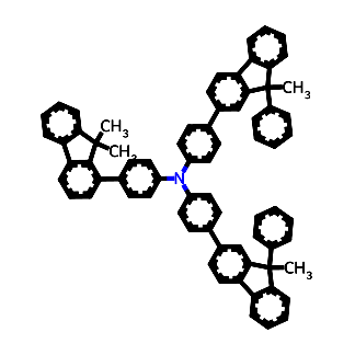 CC1(C)c2ccccc2-c2cccc(-c3ccc(N(c4ccc(-c5ccc6c(c5)C(C)(c5ccccc5)c5ccccc5-6)cc4)c4ccc(-c5ccc6c(c5)C(C)(c5ccccc5)c5ccccc5-6)cc4)cc3)c21